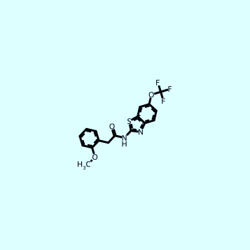 COc1ccccc1CC(=O)Nc1nc2ccc(OC(F)(F)F)cc2s1